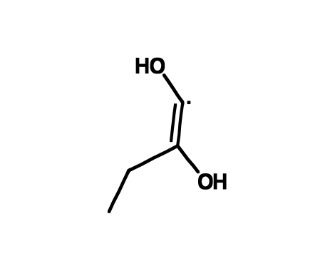 CC/C(O)=[C]\O